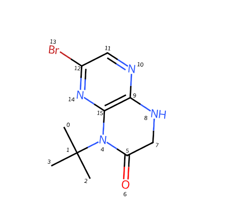 CC(C)(C)N1C(=O)CNc2ncc(Br)nc21